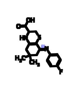 CC1(C)CC2=C(SCC(C(=O)O)N2)/C(=N/c2ccc(F)cc2)C1